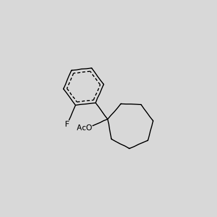 CC(=O)OC1(c2ccccc2F)CCCCCC1